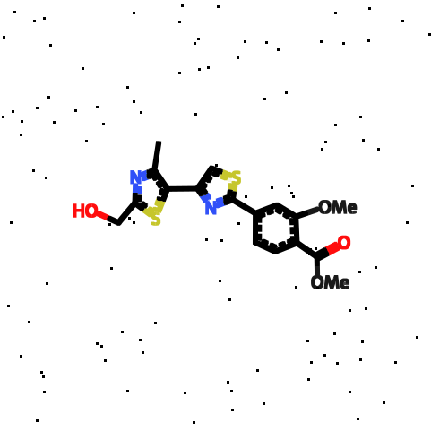 COC(=O)c1ccc(-c2nc(-c3sc(CO)nc3C)cs2)cc1OC